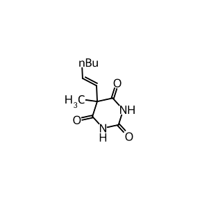 CCCCC=CC1(C)C(=O)NC(=O)NC1=O